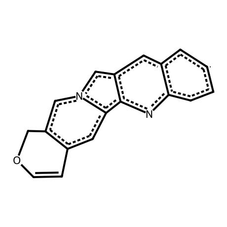 [c]1ccc2nc3c(cc2c1)cn1cc2c(cc31)C=COC2